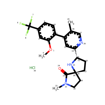 COc1cc(C(F)(F)F)ccc1-c1cc([C@@H]2CC[C@]3(CCN(C)C3=O)N2)ncc1C.Cl